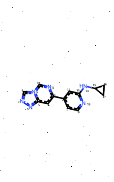 c1cc(-c2cc3nncn3cn2)cc(NC2CC2)n1